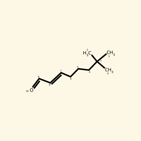 CC(C)(C)CCCC=CC=O